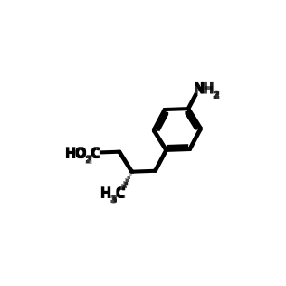 C[C@H](CC(=O)O)Cc1ccc(N)cc1